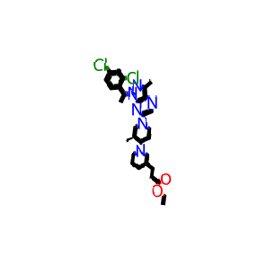 CCOC(=O)CCC1CCCN([C@@H]2CCN(c3cnc4c(C)nn(C(C)c5ccc(Cl)cc5Cl)c4n3)C[C@@H]2C)C1